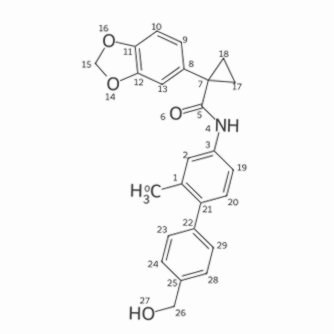 Cc1cc(NC(=O)C2(c3ccc4c(c3)OCO4)CC2)ccc1-c1ccc(CO)cc1